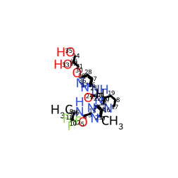 Cc1nc(C(=O)N[C@H](C)C(F)(F)F)nc2c1N1CCC[C@@H](C1)N2C(=O)Nc1ccc(OC[C@@H](O)CO)nn1